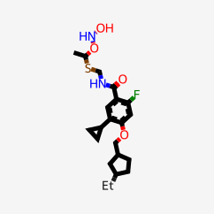 CCC1CCC(COc2cc(F)c(C(=O)NCSC(C)ONO)cc2C2CC2)C1